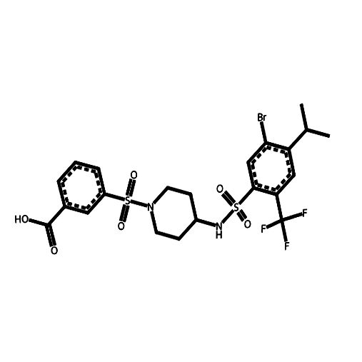 CC(C)c1cc(C(F)(F)F)c(S(=O)(=O)NC2CCN(S(=O)(=O)c3cccc(C(=O)O)c3)CC2)cc1Br